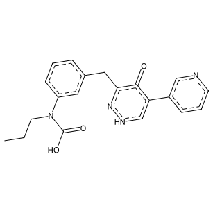 CCCN(C(=O)O)c1cccc(Cc2n[nH]cc(-c3cccnc3)c2=O)c1